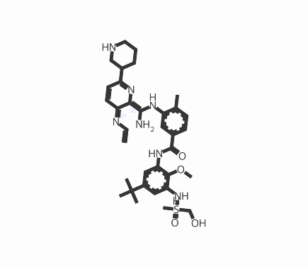 C=C/N=C1/C=CC(C2CCCNC2)=N/C1=C(/N)Nc1cc(C(=O)Nc2cc(C(C)(C)C)cc(N[SH](C)(=O)CO)c2OC)ccc1C